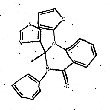 CC1(c2cscn2)N(c2ccccc2)C(=O)c2ccccc2N1c1cccs1